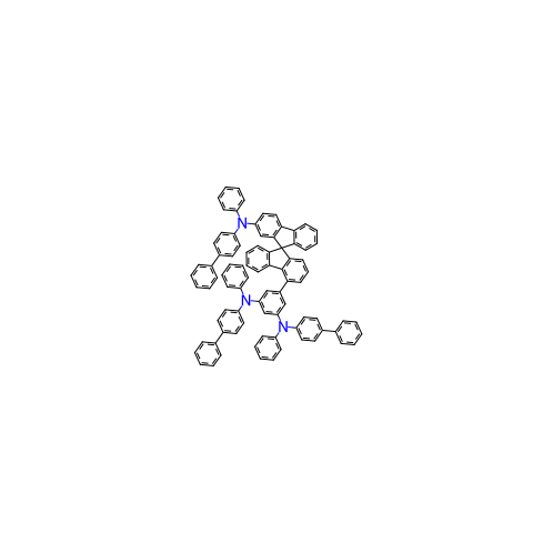 c1ccc(-c2ccc(N(c3ccccc3)c3cc(-c4cccc5c4-c4ccccc4C54c5ccccc5-c5ccc(N(c6ccccc6)c6ccc(-c7ccccc7)cc6)cc54)cc(N(c4ccccc4)c4ccc(-c5ccccc5)cc4)c3)cc2)cc1